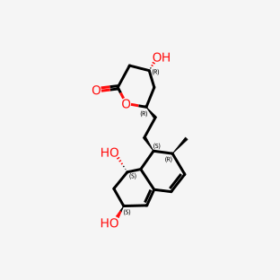 C[C@H]1C=CC2=C[C@@H](O)C[C@H](O)C2[C@H]1CC[C@@H]1C[C@@H](O)CC(=O)O1